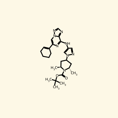 C[C@H]1CC(n2cc(Nc3nc(C4=CCCCC4)cn4ncnc34)cn2)C[C@H](C)N1C(=O)OC(C)(C)C